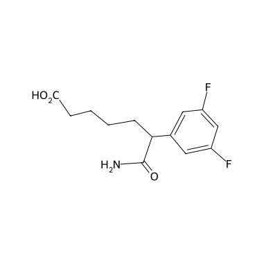 NC(=O)C(CCCCC(=O)O)c1cc(F)cc(F)c1